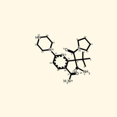 CC(C)(C)C(C(N)=O)(C(=O)N1CCCC1)c1nc(N2CCNCC2)ccc1C(N)=O